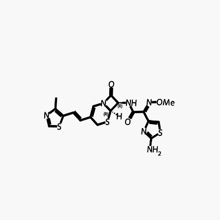 CON=C(C(=O)N[C@@H]1C(=O)N2C=C(C=Cc3scnc3C)CS[C@H]12)c1csc(N)n1